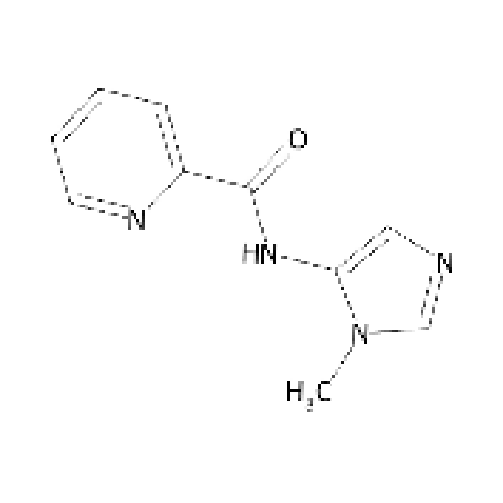 Cn1cncc1NC(=O)c1ccccn1